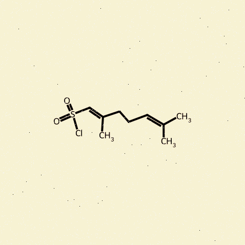 CC(C)=CCC/C(C)=C/S(=O)(=O)Cl